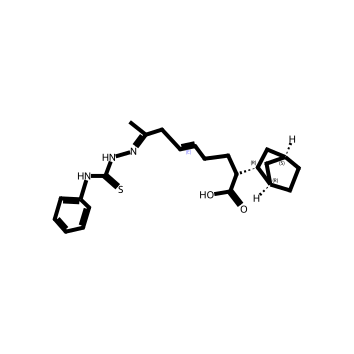 CC(C/C=C/CCC(C(=O)O)[C@@H]1C[C@H]2CC[C@@H]1C2)=NNC(=S)Nc1ccccc1